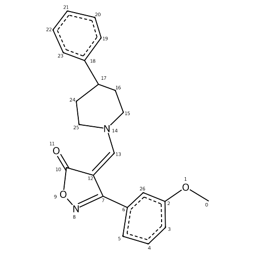 COc1cccc(C2=NOC(=O)/C2=C\N2CCC(c3ccccc3)CC2)c1